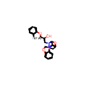 CC(=O)Nc1ccccc1OCC(O)CN1CCC2OC1C2N1COc2ccccc21